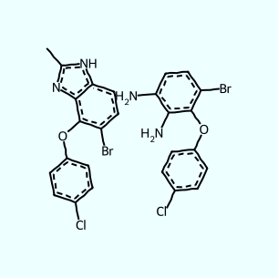 Cc1nc2c(Oc3ccc(Cl)cc3)c(Br)ccc2[nH]1.Nc1ccc(Br)c(Oc2ccc(Cl)cc2)c1N